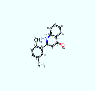 Cc1ccc(C)c(-c2cc(=O)c3ccccc3[nH]2)c1